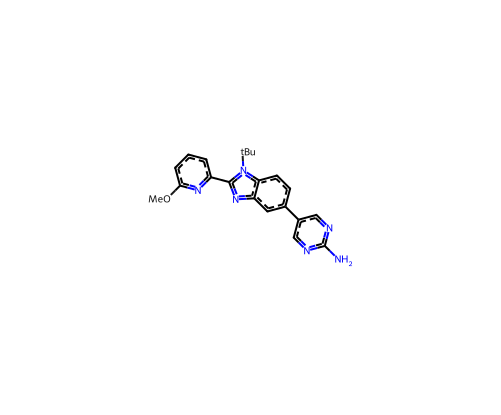 COc1cccc(-c2nc3cc(-c4cnc(N)nc4)ccc3n2C(C)(C)C)n1